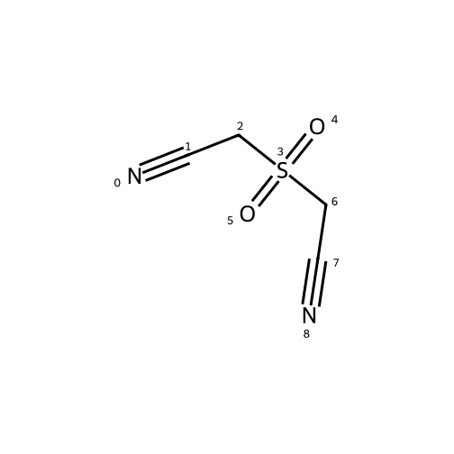 N#CCS(=O)(=O)CC#N